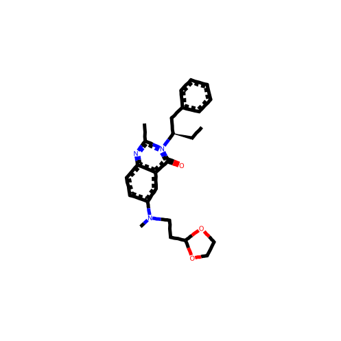 CC[C@H](Cc1ccccc1)n1c(C)nc2ccc(N(C)CCC3OCCO3)cc2c1=O